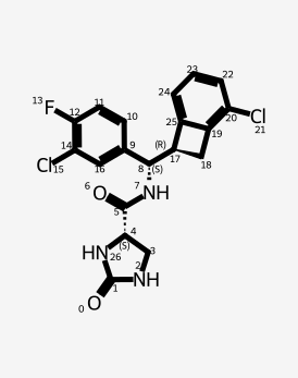 O=C1NC[C@@H](C(=O)N[C@H](c2ccc(F)c(Cl)c2)[C@@H]2Cc3c(Cl)cccc32)N1